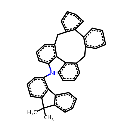 CC1(C)c2ccccc2-c2c(Nc3cccc4c3-c3ccccc3Cc3ccccc3-c3ccccc3C4)cccc21